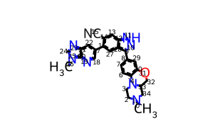 CN1CCN2c3ccc(-c4n[nH]c5cc(C#N)c(-c6cnc7c(c6)ncn7C)cc45)cc3OCC2C1